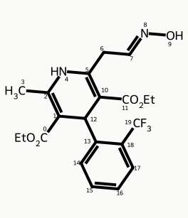 CCOC(=O)C1=C(C)NC(CC=NO)=C(C(=O)OCC)C1c1ccccc1C(F)(F)F